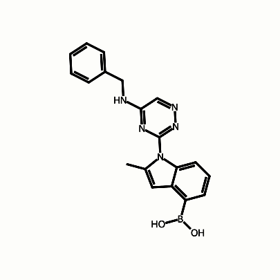 Cc1cc2c(B(O)O)cccc2n1-c1nncc(NCc2ccccc2)n1